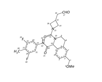 COCc1ccc2c(c1)CCN(C(=O)N1CC(CC=O)C1)C2C(=O)Nc1cc(F)c(C)c(F)c1